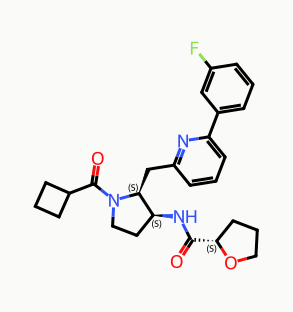 O=C(N[C@H]1CCN(C(=O)C2CCC2)[C@H]1Cc1cccc(-c2cccc(F)c2)n1)[C@@H]1CCCO1